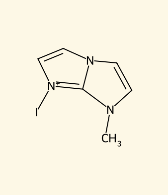 Cn1ccn2cc[n+](I)c12